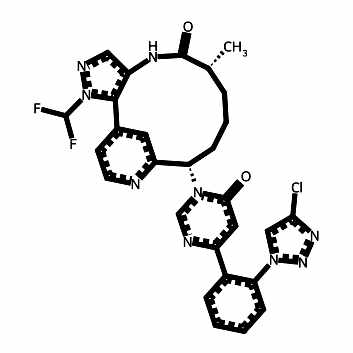 C[C@@H]1CCC[C@H](n2cnc(-c3ccccc3-n3cc(Cl)nn3)cc2=O)c2cc(ccn2)-c2c(cnn2C(F)F)NC1=O